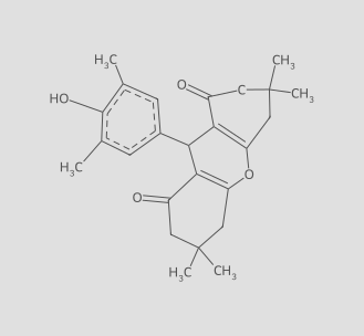 Cc1cc(C2C3=C(CC(C)(C)CC3=O)OC3=C2C(=O)CC(C)(C)C3)cc(C)c1O